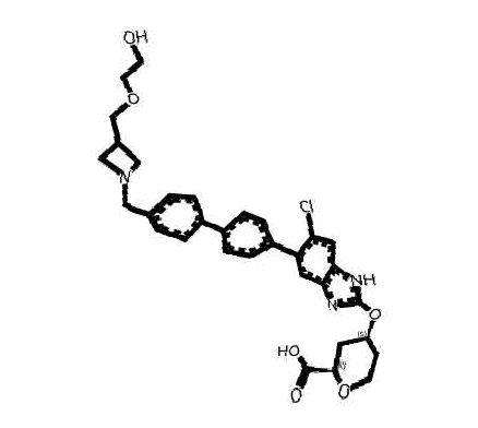 O=C(O)[C@H]1C[C@@H](Oc2nc3cc(-c4ccc(-c5ccc(CN6CC(COCCO)C6)cc5)cc4)c(Cl)cc3[nH]2)CCO1